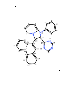 C1=CCN2C(=C1)N(c1ccccc1)C(c1ncncn1)=C2c1cc2ccccc2c2ccccc12